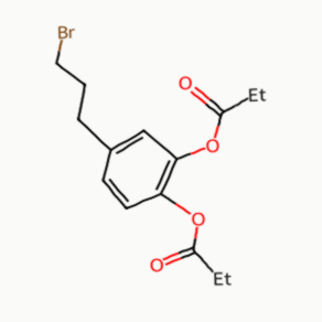 CCC(=O)Oc1ccc(CCCBr)cc1OC(=O)CC